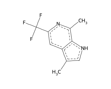 Cc1c[nH]c2c(C)nc(C(F)(F)F)cc12